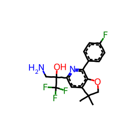 CC1(C)COc2c1cc(C(O)(CN)C(F)(F)F)nc2-c1ccc(F)cc1